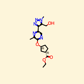 CCOC(=O)[C@H]1CC[C@H](Oc2ncc(-c3nnn(C)c3CO)nc2C)C1